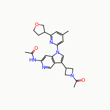 CC(=O)Nc1cc2c(cn1)c(C1CN(C(C)=O)C1)cn2-c1cc(C)cc(C2CCOC2)n1